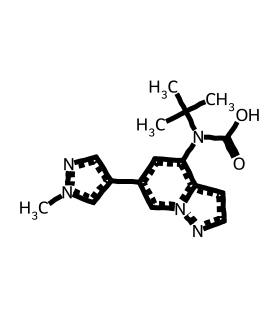 Cn1cc(-c2cc(N(C(=O)O)C(C)(C)C)c3ccnn3c2)cn1